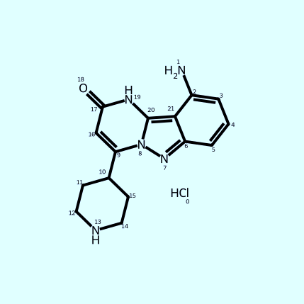 Cl.Nc1cccc2nn3c(C4CCNCC4)cc(=O)[nH]c3c12